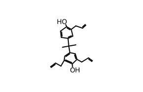 C=CCc1cc(C(C)(C)c2cc(CC=C)c(O)c(CC=C)c2)ccc1O